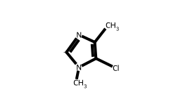 Cc1n[c]n(C)c1Cl